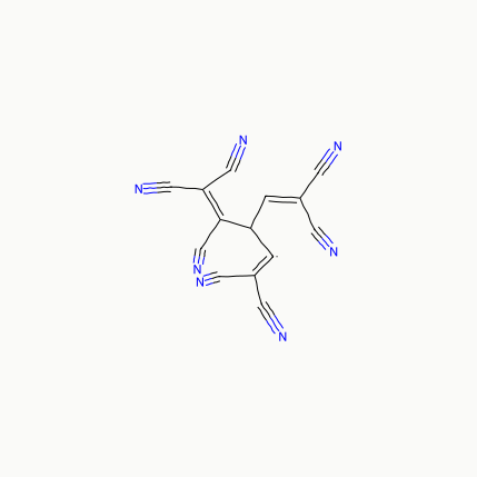 N#CC(=[C]C(C=C(C#N)C#N)C(C#N)=C(C#N)C#N)C#N